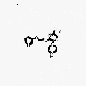 Cc1cnc(N2CCNCC2)c(OCCOc2cccnc2)n1